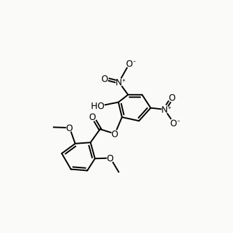 COc1cccc(OC)c1C(=O)Oc1cc([N+](=O)[O-])cc([N+](=O)[O-])c1O